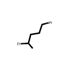 CCC(C)C[CH]CC(C)C